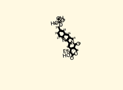 CC[C@@]1(O)C(=O)OCc2c1cc1n(c2=O)Cc2cc3cc(COP(=O)(O)O)ccc3nc2-1